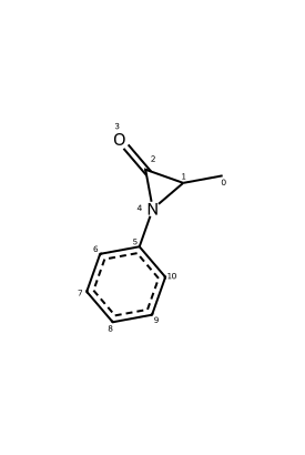 CC1C(=O)N1c1ccccc1